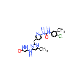 Cc1cc(NC2=CC(=O)N=N2)nc(Cc2ccc(NC(=O)Nc3ccc(Cl)c(C(F)(F)F)c3)nc2)n1